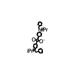 CC(C)N(Cc1ccccc1)c1ccc(C2=C([O-])C(=C3C=CC(=[N+](Cc4ccccc4)C(C)C)C=C3)C2=O)cc1